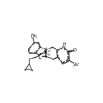 CC(=O)c1cc2c([nH]c1=O)C[C@@]13CCN(CC4CC4)C[C@@]1(Cc1ccc(O)cc13)C2